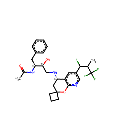 CC(=O)N[C@@H](Cc1ccccc1)[C@@H](O)CN[C@H]1CC2(CCC2)Oc2ncc(C(F)C(C)C(F)(F)F)cc21